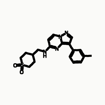 Cc1cccc(-c2cnn3ccc(NCC4CCS(=O)(=O)CC4)nc23)c1